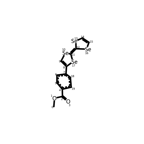 COC(=O)c1ccc(C2=C[Se]C(=C3[Se]C=C[Se]3)[Se]2)cc1